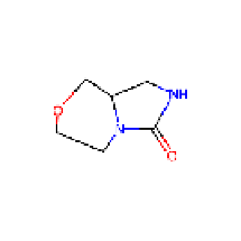 O=C1NCC2COCCN12